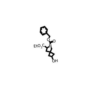 CCOC(=O)C1CC2(CC(O)C2)CN1C(=O)OCc1ccccc1